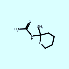 NC(=O)NC1([SiH3])CCCCO1